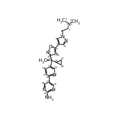 CN(C)CCn1cc(-c2nc([C@@](C)(c3ccc(-c4cnc(N)nc4)nc3)C3CC3)no2)cn1